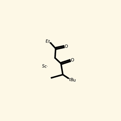 CCC(=O)CC(=O)C(C)C(C)(C)C.[Sc]